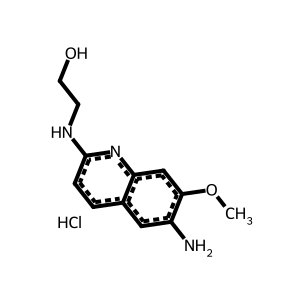 COc1cc2nc(NCCO)ccc2cc1N.Cl